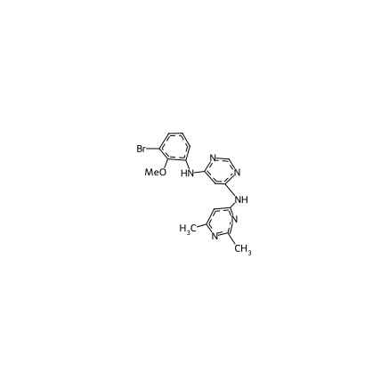 COc1c(Br)cccc1Nc1cc(Nc2cc(C)nc(C)n2)ncn1